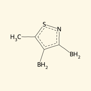 Bc1nsc(C)c1B